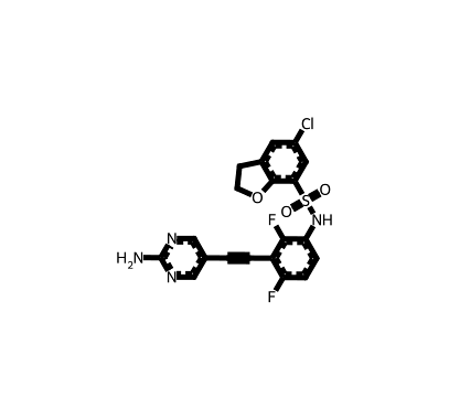 Nc1ncc(C#Cc2c(F)ccc(NS(=O)(=O)c3cc(Cl)cc4c3OCC4)c2F)cn1